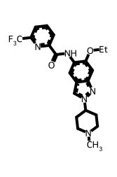 CCOc1cc2nn(C3CCN(C)CC3)cc2cc1NC(=O)c1cccc(C(F)(F)F)n1